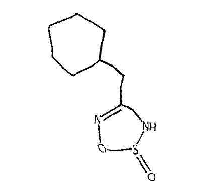 O=S1NC(CC2CCCCC2)=NO1